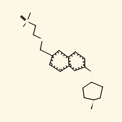 CC(C)(C)[C@H]1CC[C@H](Oc2ccc3cc(CNCCP(=O)(O)O)ccc3c2)CC1